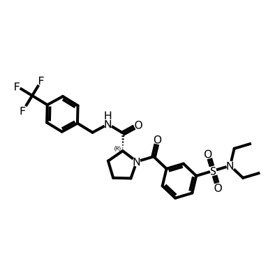 CCN(CC)S(=O)(=O)c1cccc(C(=O)N2CCC[C@@H]2C(=O)NCc2ccc(C(F)(F)F)cc2)c1